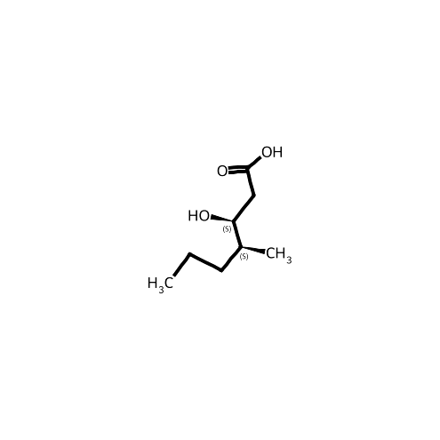 CCC[C@H](C)[C@@H](O)CC(=O)O